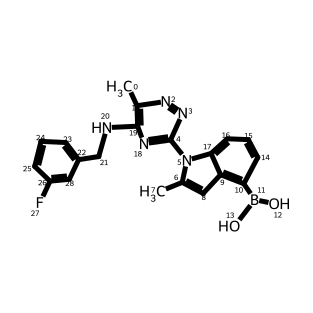 Cc1nnc(-n2c(C)cc3c(B(O)O)cccc32)nc1NCc1cccc(F)c1